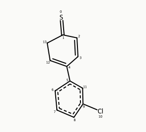 S=C1C=CC(c2[c]ccc(Cl)c2)=CC1